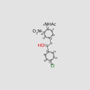 CC(=O)Nc1ccc(CC(O)c2ccc(Cl)cc2)cc1[N+](=O)[O-]